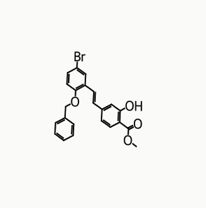 COC(=O)c1ccc(C=Cc2cc(Br)ccc2OCc2ccccc2)cc1O